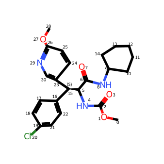 COC(=O)NC(C(=O)NC1CCCCC1)[C@@H](c1ccc(Cl)cc1)c1ccc(OC)nc1